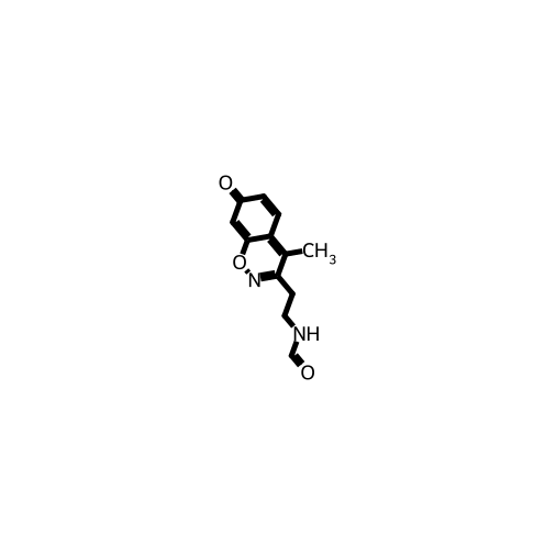 Cc1c2ccc(=O)cc-2onc1CCNC=O